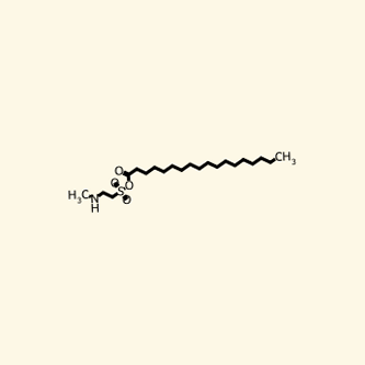 CCCCCCCCCCCCCCCCCC(=O)OS(=O)(=O)CCNC